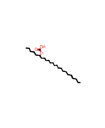 CCCCCCCCCCCCCCCCCCC(CCCCC)OC(=O)O